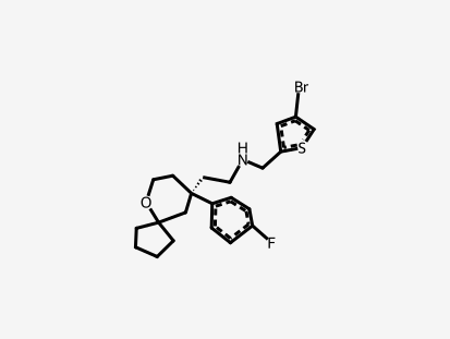 Fc1ccc([C@]2(CCNCc3cc(Br)cs3)CCOC3(CCCC3)C2)cc1